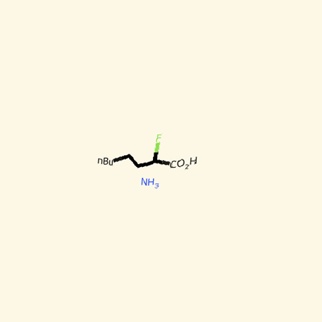 CCCCCCC(F)C(=O)O.N